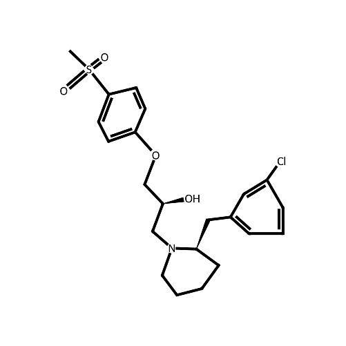 CS(=O)(=O)c1ccc(OC[C@@H](O)CN2CCCC[C@@H]2Cc2cccc(Cl)c2)cc1